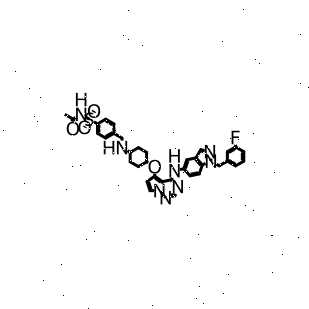 CC(=O)NS(=O)(=O)c1ccc(CNC2CCC(Oc3ccn4ncnc(Nc5ccc6c(cnn6Cc6cccc(F)c6)c5)c34)CC2)cc1